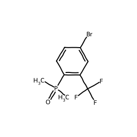 CP(C)(=O)c1ccc(Br)cc1C(F)(F)F